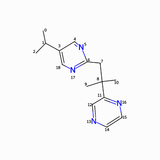 CC(C)c1cnc(CC(C)(C)c2cnccn2)nc1